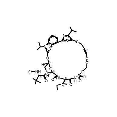 CC[C@@H]1C[C@@]12NC(=O)[C@@H]1C[C@H](CN1C(=O)[C@@H](NCl)C(C)(C)C)Oc1nc3c(cccc3n1C(C)C)-c1nc(C(C)C)c(s1)CC/C=C\CCCCS(=O)(=O)NC2=O